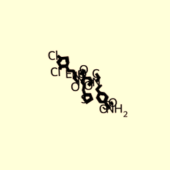 CCOC(=O)CN(CCc1ccc(S(N)(=O)=O)cc1)C(=O)CC1C(=O)N(CCc2ccc(Cl)cc2Cl)CC(=O)N1CCc1cccs1